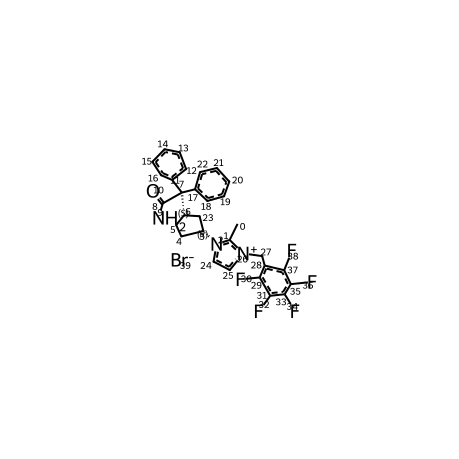 Cc1n([C@@H]2CC[C@H](C(C(N)=O)(c3ccccc3)c3ccccc3)C2)cc[n+]1Cc1c(F)c(F)c(F)c(F)c1F.[Br-]